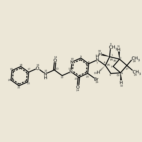 C[C@@H]1[C@H]2C[C@@H](C[C@H]1Nc1cnn(CC(=O)NOc3ccccc3)c(=O)c1Br)C2(C)C